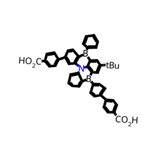 CC(C)(C)c1cc2c3c(c1)B(c1ccccc1)c1ccc(-c4ccc(C(=O)O)cc4)cc1N3c1ccccc1B2c1ccc(-c2ccc(C(=O)O)cc2)cc1